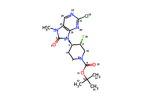 Cn1c(=O)n([C@@H]2CCN(C(=O)OC(C)(C)C)C[C@@H]2F)c2nc(Cl)ncc21